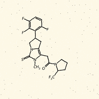 Cn1c(CC(=O)N2CCCC2C(F)(F)F)c2n(c1=S)CC(c1c(F)ccc(F)c1F)C2